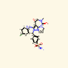 CN1C(=O)N(CC(C)(C)C)c2nn(Cc3ccc(S(N)(=O)=O)cc3)c(Nc3ccc(F)cc3)c2C2OC21